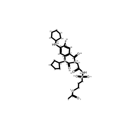 CC(=O)OCCCS(=O)(=O)NC(=O)Cn1c(=O)c2cc(F)c(NC3CCCCC3)cc2n(C2CCCC2)c1=O